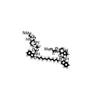 CNCC(=O)N[C@H]1CCS[C@@H](CC(C)(C)OC(=O)N[C@H]2c3ccccc3C[C@H]2OCCCCCCCCCCCCO[C@H]2Cc3ccccc3[C@@H]2NC(=O)[C@H]2C3C(=O)[C@@H](NC(=O)[C@H](C)NC)CCS[C@H]3CC2(C)C)NC1=O